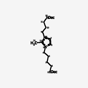 CCCCCCCCCCCCCC[n+]1ccn(CCCCCCCCCCCCC)c1C